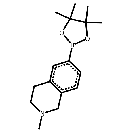 CN1CCc2cc(B3OC(C)(C)C(C)(C)O3)ccc2C1